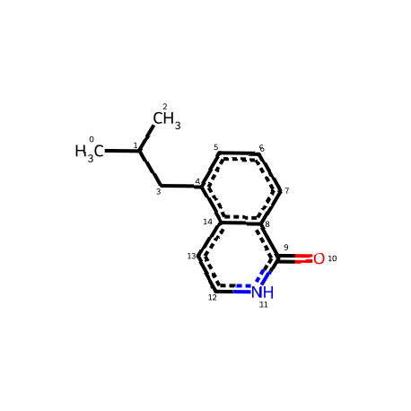 CC(C)Cc1cccc2c(=O)[nH]ccc12